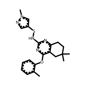 Cc1ccccc1Oc1nc(NSc2cnn(C)c2)nc2c1CC(C)(C)CC2